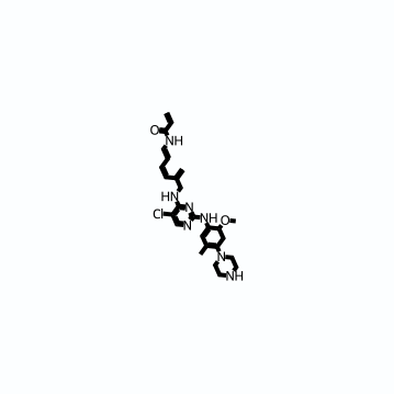 C=CC(=O)N/C=C/C=C\C(=C)CNc1nc(NC2=CC(C)=C(N3CCNCC3)CC2OC)ncc1Cl